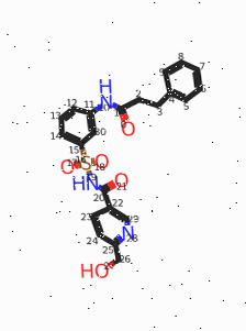 O=C(CCc1ccccc1)Nc1cccc(S(=O)(=O)NC(=O)c2ccc(CO)nc2)c1